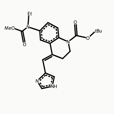 CCN(C(=O)OC)c1ccc2c(c1)/C(=C/c1c[nH]cn1)CCN2C(=O)OC(C)(C)C